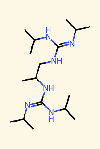 CC(C)N=C(NCC(C)NC(=NC(C)C)NC(C)C)NC(C)C